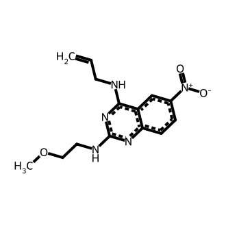 C=CCNc1nc(NCCOC)nc2ccc([N+](=O)[O-])cc12